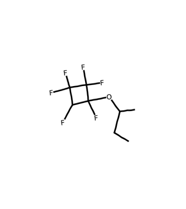 CCC(C)OC1(F)C(F)C(F)(F)C1(F)F